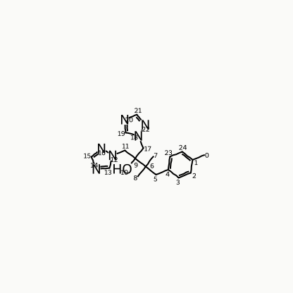 Cc1ccc(CC(C)(C)C(O)(Cn2cncn2)Cn2cncn2)cc1